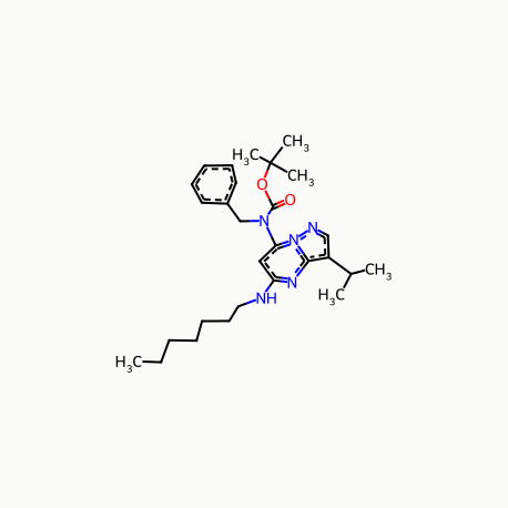 CCCCCCCNc1cc(N(Cc2ccccc2)C(=O)OC(C)(C)C)n2ncc(C(C)C)c2n1